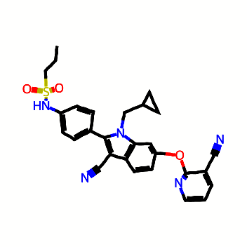 CCCS(=O)(=O)Nc1ccc(-c2c(C#N)c3ccc(Oc4ncccc4C#N)cc3n2CC2CC2)cc1